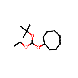 CCOC(OC1CCCCCCC1)OC(C)(C)C